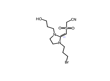 N#CCS(=O)(=O)/C=C1\N(CCCO)CCN1CCCBr